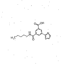 CCCCCNC(=O)c1cc(C(=O)O)cc(-c2nccs2)c1